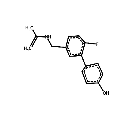 C=C(C)NCc1ccc(F)c(-c2ccc(O)cc2)c1